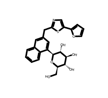 OC[C@H]1O[C@@H](c2cc(Cc3ncc(-c4ccco4)s3)cc3ccccc23)[C@H](O)[C@@H](O)[C@@H]1O